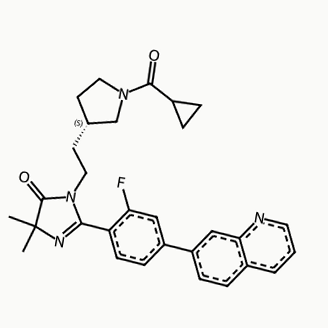 CC1(C)N=C(c2ccc(-c3ccc4cccnc4c3)cc2F)N(CC[C@@H]2CCN(C(=O)C3CC3)C2)C1=O